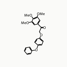 COc1cc(C(=O)COc2ccc(Oc3ccccc3)cc2)cc(OC)c1OC